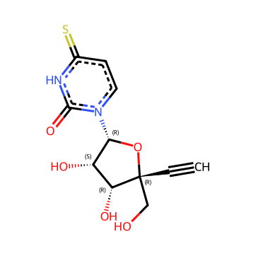 C#C[C@]1(CO)O[C@@H](n2ccc(=S)[nH]c2=O)[C@@H](O)[C@H]1O